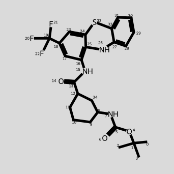 CC(C)(C)OC(=O)NC1CCCC(C(=O)Nc2cc(C(F)(F)F)cc3c2Nc2ccccc2S3)C1